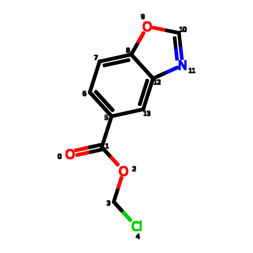 O=C(OCCl)c1ccc2ocnc2c1